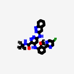 [2H]C([2H])([2H])NC(=O)c1nnc(Nc2cc3ccccc3nn2)cc1Nc1cccc(-c2ncc(F)cn2)c1OC